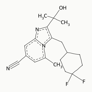 Cc1cc(C#N)cc2nc(C(C)(C)O)c(CC3CCC(F)(F)CC3)n12